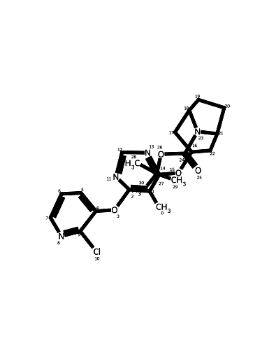 Cc1c(Oc2cccnc2Cl)ncnc1OC1CC2CCC(C1)N2C(=O)OC(C)(C)C